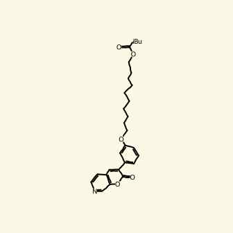 CCC(C)C(=O)OCCCCCCCCCCOc1cccc(-c2cc3ccncc3oc2=O)c1